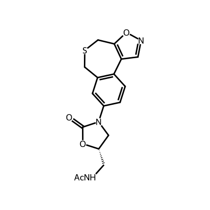 CC(=O)NC[C@H]1CN(c2ccc3c(c2)CSCc2oncc2-3)C(=O)O1